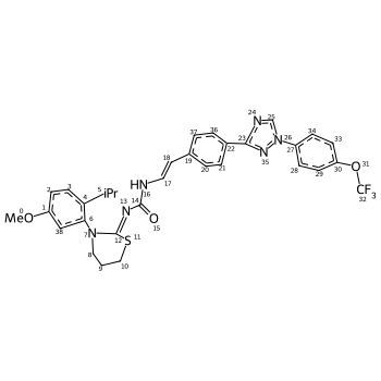 COc1ccc(C(C)C)c(N2CCCS/C2=N\C(=O)N/C=C/c2ccc(-c3ncn(-c4ccc(OC(F)(F)F)cc4)n3)cc2)c1